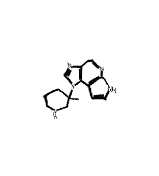 CC1(n2cnc3cnc4[nH]ccc4c32)CCCNC1